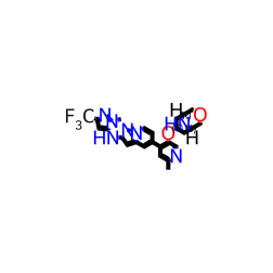 Cc1cc(-c2ccn3nc(Nc4cc(C(F)(F)F)nn4C)cc3c2)c(O[C@H]2C[C@H]3COC[C@@H](C2)N3)cn1